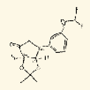 CC1(C)O[C@@H]2[C@@H](c3cccc(OC(F)F)c3)CC(=O)[C@@H]2O1